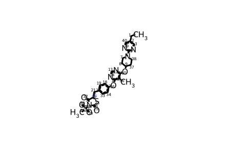 CCc1cnc(N2CCC(Oc3ncnc(Oc4ccc(/C=C5\SC(=O)N(S(C)(=O)=O)C5=O)cc4)c3C)CC2)nc1